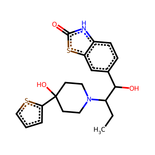 CCC(C(O)c1ccc2[nH]c(=O)sc2c1)N1CCC(O)(c2cccs2)CC1